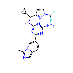 Cc1ncc2ccc(-c3nc(N)nc(NC(c4ccn(C(F)F)n4)C4CC4)n3)cn12